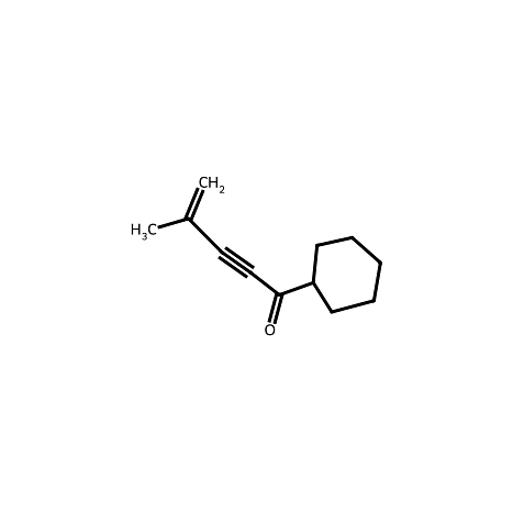 C=C(C)C#CC(=O)C1CCCCC1